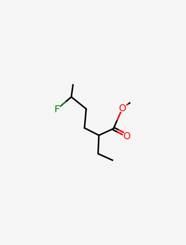 CCC(CCC(C)F)C(=O)OC